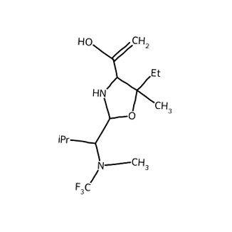 C=C(O)C1NC(C(C(C)C)N(C)C(F)(F)F)OC1(C)CC